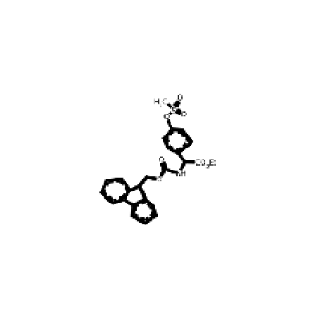 CCOC(=O)C(NC(=O)OCC1c2ccccc2-c2ccccc21)c1ccc(OS(C)(=O)=O)cc1